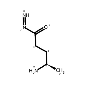 C[C@@H](N)CCC(=O)N=N